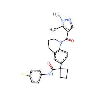 Cc1c(C(=O)N2CCCc3cc(C4(C(=O)Nc5ccc(F)cc5)CCC4)ccc32)cnn1C